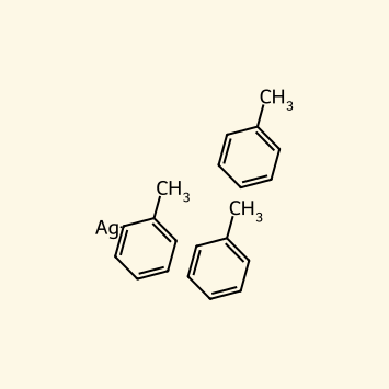 Cc1ccccc1.Cc1ccccc1.Cc1ccccc1.[Ag]